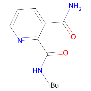 CCC(C)NC(=O)c1ncccc1C(N)=O